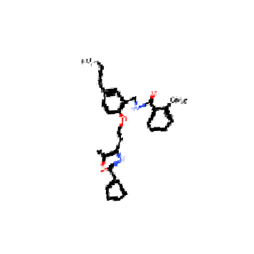 COc1ccccc1C(=O)NCc1cc(CCC(=O)O)ccc1OCCc1nc(-c2ccccc2)oc1C